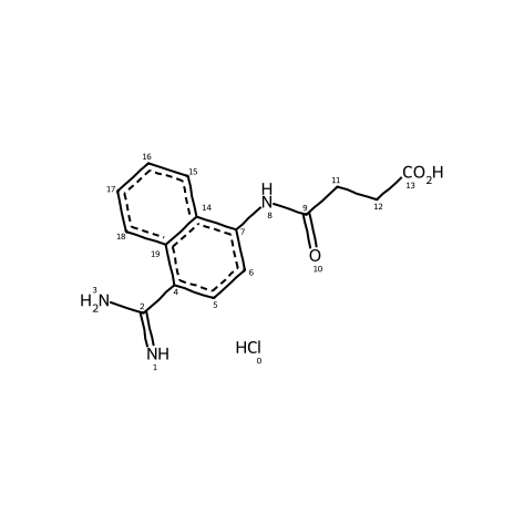 Cl.N=C(N)c1ccc(NC(=O)CCC(=O)O)c2ccccc12